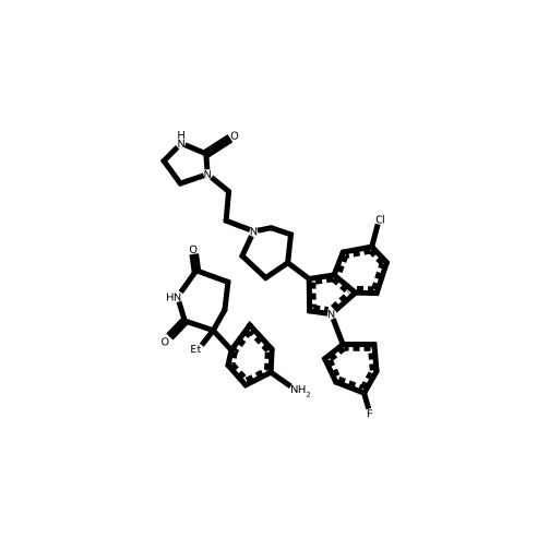 CCC1(c2ccc(N)cc2)CCC(=O)NC1=O.O=C1NCCN1CCN1CCC(c2cn(-c3ccc(F)cc3)c3ccc(Cl)cc23)CC1